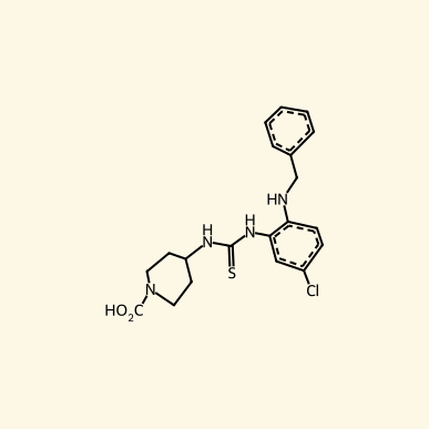 O=C(O)N1CCC(NC(=S)Nc2cc(Cl)ccc2NCc2ccccc2)CC1